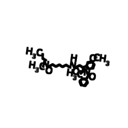 CCCCN(C)C(=O)CCCCCCNC(=O)Cc1c(C)n(C(=O)c2ccccc2)c2ccc(OC)cc12